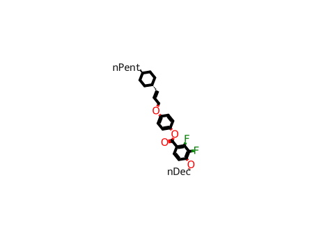 CCCCCCCCCCOc1ccc(C(=O)Oc2ccc(OCC=C[C@H]3CC[C@H](CCCCC)CC3)cc2)c(F)c1F